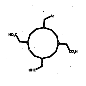 CC(=O)CN1CCN(CC(=O)O)CCN(CC=O)CCN(CC(=O)O)CC1